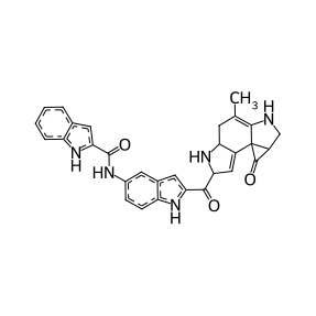 CC1=C2NCC3C(=O)C23C2=CC(C(=O)c3cc4cc(NC(=O)c5cc6ccccc6[nH]5)ccc4[nH]3)NC2C1